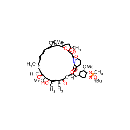 CCCCOP(C)(=O)O[C@@H]1CC[C@@H](CC2[C@H]3CCCN4C(=O)C(=O)[C@]5(O)O[C@@H](CC[C@H]5C)C[C@H](OC)/C(C)=C/C=C/C=C/[C@@H](C)C[C@@H](C)C(=O)[C@H](OC)[C@H](O)/C(C)=C/C(C)C(=O)C[C@@H]2OC(=O)C34)C[C@H]1OC